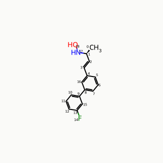 C[C@@H](/C=C/c1cccc(-c2cccc(F)c2)c1)NO